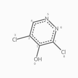 Oc1c(Cl)cnnc1Cl